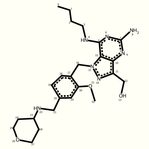 CCCCNc1nc(N)nc2c(CO)nn(Cc3ccc(CNC4CCOCC4)cc3OC)c12